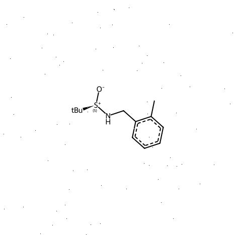 Cc1ccccc1CN[S@+]([O-])C(C)(C)C